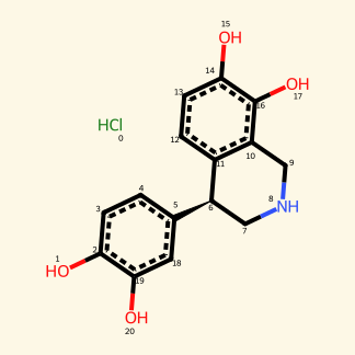 Cl.Oc1ccc([C@@H]2CNCc3c2ccc(O)c3O)cc1O